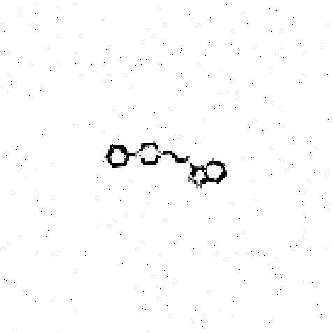 c1ccc(N2CCN(CCSc3nnc4ccccn34)CC2)cc1